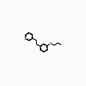 CCCOc1cccc(CCc2cccnc2)c1